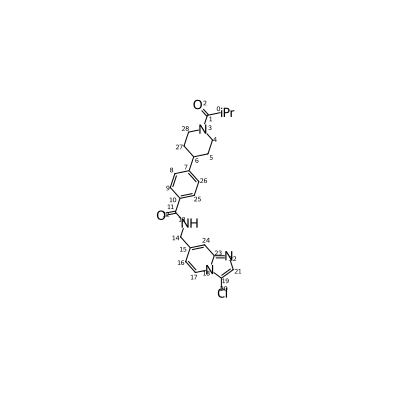 CC(C)C(=O)N1CCC(c2ccc(C(=O)NCc3ccn4c(Cl)cnc4c3)cc2)CC1